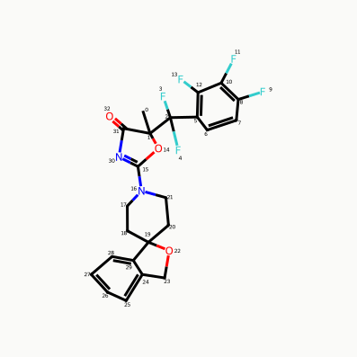 CC1(C(F)(F)c2ccc(F)c(F)c2F)OC(N2CCC3(CC2)OCc2ccccc23)=NC1=O